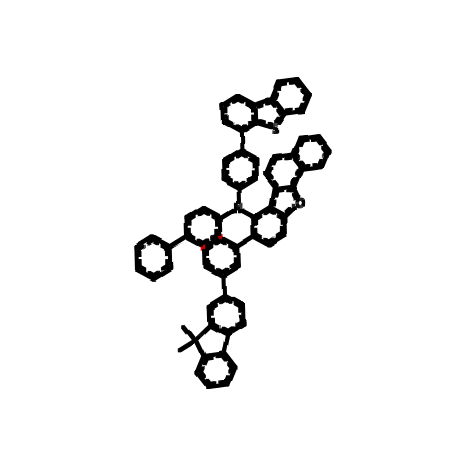 CC1(C)c2ccccc2-c2ccc(-c3cccc(-c4ccc5oc6c7ccccc7ccc6c5c4N(c4ccc(-c5ccccc5)cc4)c4ccc(-c5cccc6c5sc5ccccc56)cc4)c3)cc21